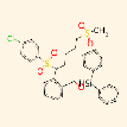 CS(=O)(=O)CCCCC(c1ccccc1CO[SiH](c1ccccc1)c1ccccc1)S(=O)(=O)c1ccc(Cl)cc1